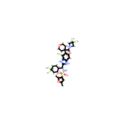 Cc1cc(S(=O)(=O)N[C@H](c2nc3c(F)c(C4(C(=O)N5CC(F)(F)C5)CCOCC4)ccc3[nH]2)C2CCC(F)(F)CC2)c(C)o1